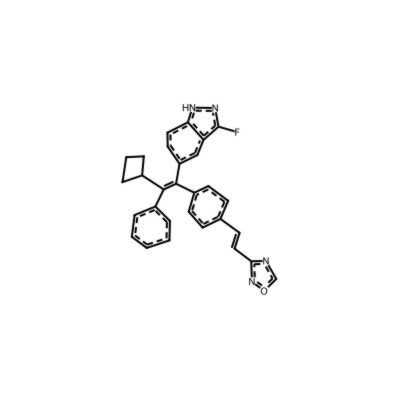 Fc1n[nH]c2ccc(/C(=C(/c3ccccc3)C3CCC3)c3ccc(C=Cc4ncon4)cc3)cc12